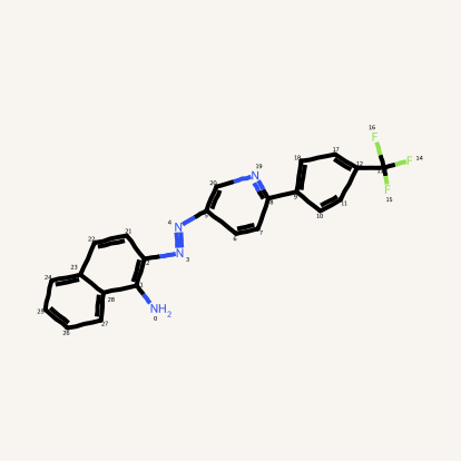 Nc1c(N=Nc2ccc(-c3ccc(C(F)(F)F)cc3)nc2)ccc2ccccc12